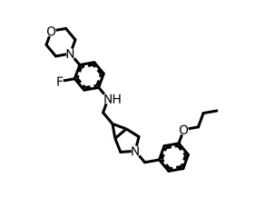 CCCOc1cccc(CN2CC3C(CNc4ccc(N5CCOCC5)c(F)c4)C3C2)c1